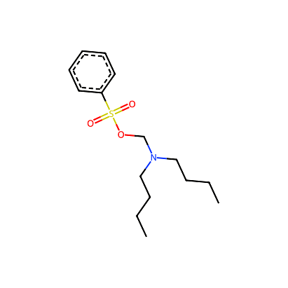 CCCCN(CCCC)COS(=O)(=O)c1ccccc1